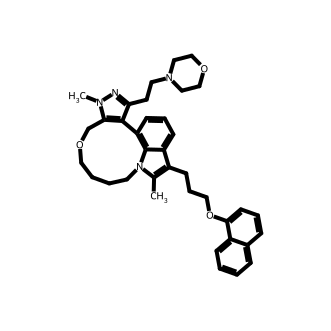 Cc1c(CCCOc2cccc3ccccc23)c2cccc3c2n1CCCCOCc1c-3c(CCN2CCOCC2)nn1C